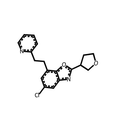 Clc1cc(CCc2ccccn2)c2oc(C3CCOC3)nc2c1